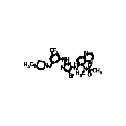 CN1CCN(Cc2cc(Nc3ncc(Br)c(Nc4ccc5nccnc5c4N(C)S(C)(=O)=O)n3)cc(C(F)(F)F)c2)CC1